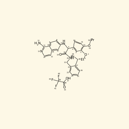 CCOc1cc(C(Nc2ccc3c(N)nccc3c2)C(=O)NCc2ccccc2CC(C)C)ccc1OC(C)C.O=C(O)C(F)(F)F